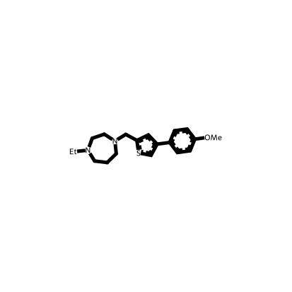 CCN1CCCN(Cc2cc(-c3ccc(OC)cc3)cs2)CC1